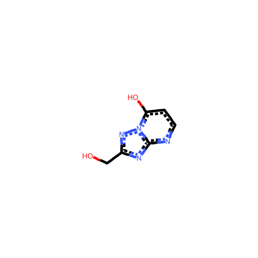 OCc1nc2nccc(O)n2n1